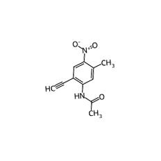 C#Cc1cc([N+](=O)[O-])c(C)cc1NC(C)=O